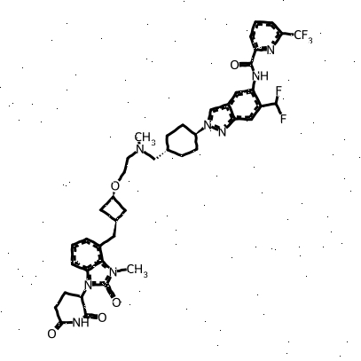 CN(CCO[C@H]1C[C@H](Cc2cccc3c2n(C)c(=O)n3C2CCC(=O)NC2=O)C1)C[C@H]1CC[C@H](n2cc3cc(NC(=O)c4cccc(C(F)(F)F)n4)c(C(F)F)cc3n2)CC1